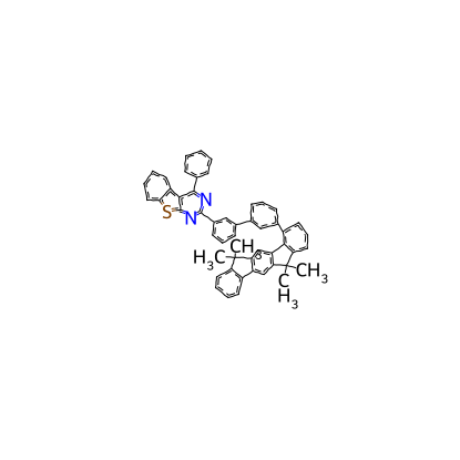 CC1(C)c2ccccc2-c2cc3c(cc21)-c1c(-c2cccc(-c4cccc(-c5nc(-c6ccccc6)c6c(n5)sc5ccccc56)c4)c2)cccc1C3(C)C